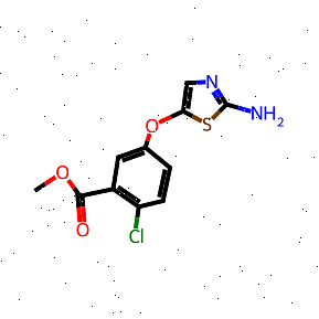 COC(=O)c1cc(Oc2cnc(N)s2)ccc1Cl